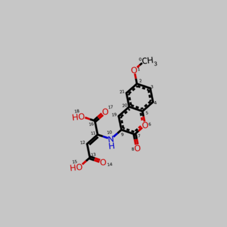 COc1ccc2oc(=O)c(N/C(=C\C(=O)O)C(=O)O)cc2c1